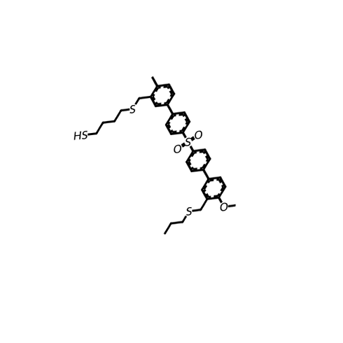 CCCSCc1cc(-c2ccc(S(=O)(=O)c3ccc(-c4ccc(C)c(CSCCCCS)c4)cc3)cc2)ccc1OC